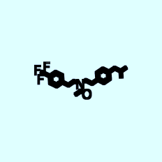 CC(=O)N(CCc1ccc(CC(C)C)cc1)CCc1ccc(C(F)(F)F)cc1